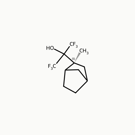 C[C@]1(C(O)(C(F)(F)F)C(F)(F)F)CC2CCC1C2